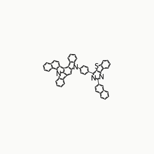 c1ccc2cc(-c3nc(-c4ccc(-n5c6ccccc6c6c7c8ccc9ccccc9c8n8c9ccccc9c(cc65)c78)cc4)c4sc5ccccc5c4n3)ccc2c1